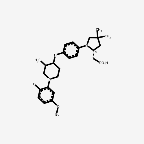 CCOc1ccc(F)c(N2CCC(Oc3ccc(N4CC(C)(C)C[C@@H]4CC(=O)O)cc3)C(C)C2)c1